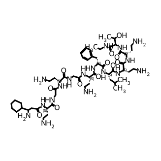 CCNC(=O)C(NC(=O)[C@H](CCN)NC(=O)[C@H](CCN)NC(=O)[C@H](CC(C)C)NC(=O)[C@@H](Cc1ccccc1)NC(=O)[C@H](CCN)NC(=O)CNC(=O)[C@H](CCN)NC(=O)CNC(=O)[C@H](CCN)NC(=O)CC(N)C1CCCCC1)C(C)O